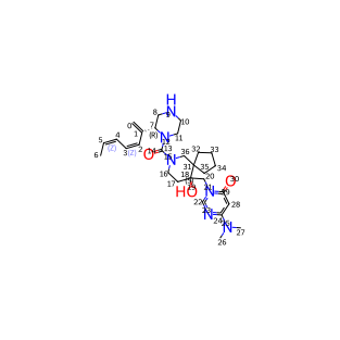 C=C(/C=C\C=C/C)[C@@H]1CNCCN1C(=O)N1CC[C@@](O)(Cn2cnc(N(C)C)cc2=O)C2(CCCC2)C1